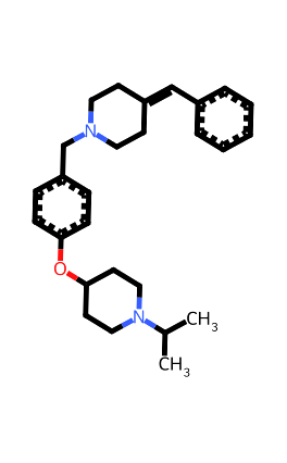 CC(C)N1CCC(Oc2ccc(CN3CCC(=Cc4ccccc4)CC3)cc2)CC1